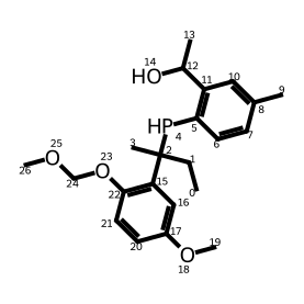 CCC(C)(Pc1ccc(C)cc1C(C)O)c1cc(OC)ccc1OCOC